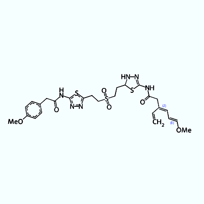 C=C/C(=C\C=C\OC)CC(=O)NC1=NNC(CCS(=O)(=O)CCc2nnc(NC(=O)Cc3ccc(OC)cc3)s2)S1